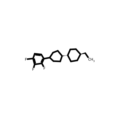 CC[C@H]1CC[C@H](C2CCC(c3ccc(F)c(F)c3F)CC2)CC1